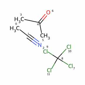 CC#N.CC(C)=O.ClC(Cl)(Cl)Cl